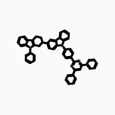 c1ccc(-c2cc(-c3ccccc3)nc(-c3ccc(-n4c5ccccc5c5cc(C6CCc7c(n(-c8ccccc8)c8ccccc78)C6)ccc54)cc3)n2)cc1